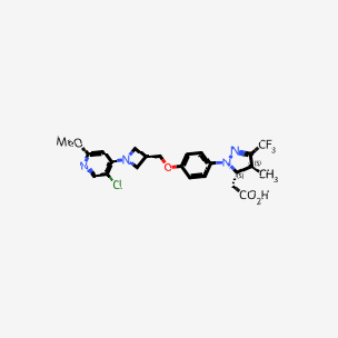 COc1cc(N2CC(COc3ccc(N4N=C(C(F)(F)F)[C@@H](C)[C@@H]4CC(=O)O)cc3)C2)c(Cl)cn1